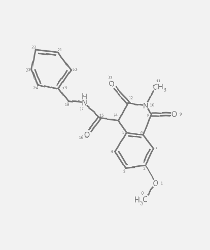 COc1ccc2c(c1)C(=O)N(C)C(=O)C2C(=O)NCc1ccccc1